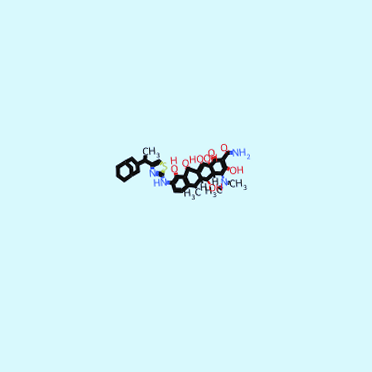 CC(c1csc(Nc2ccc3c(c2O)C(=O)C2=C(O)[C@]4(O)C(=O)C(C(N)=O)=C(O)[C@@H](N(C)C)[C@@H]4[C@@H](O)[C@@H]2[C@H]3C)n1)C1CC2CCCC(C2)C1